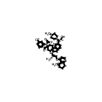 COC(=O)C1(N(C(=O)C(F)(F)F)c2cccc(Cl)c2)CCC2(CC1)c1cc([C@H](CO)N3CCN(C)CC3)ccc1C[C@@H]2C[C@@H](C)COc1ccnc2c1[C@H](C)CCC2